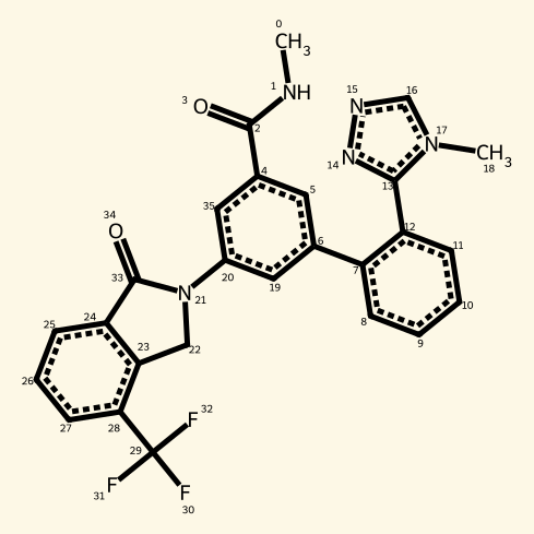 CNC(=O)c1cc(-c2ccccc2-c2nncn2C)cc(N2Cc3c(cccc3C(F)(F)F)C2=O)c1